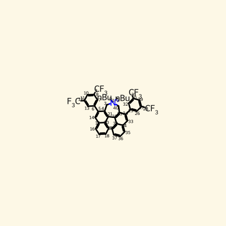 CCCC[N+]1(CCCC)Cc2c(-c3cc(C(F)(F)F)cc(C(F)(F)F)c3)cc3ccccc3c2-c2c(c(-c3cc(C(F)(F)F)cc(C(F)(F)F)c3)cc3ccccc23)C1